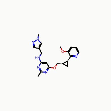 COc1cccnc1[C@H]1C[C@@H]1COc1cc(NCc2cnn(C)c2)nc(C)n1